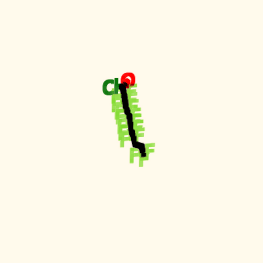 O=C(Cl)C(F)(F)C(F)(F)C(F)(F)C(F)(F)C(F)(F)C(F)(F)C(F)(F)CCC(F)(F)F